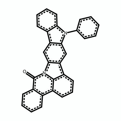 O=c1c2ccccc2c2cccc3c4cc5c(cc4n1c23)c1ccccc1n5-c1ccccc1